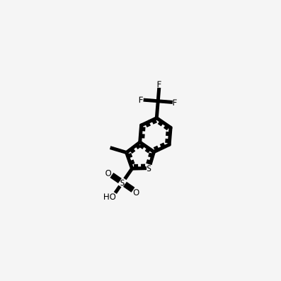 Cc1c(S(=O)(=O)O)sc2ccc(C(F)(F)F)cc12